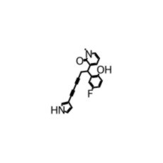 Cn1cccc(C(CC#CC#Cc2cc[nH]c2)c2cc(F)ccc2O)c1=O